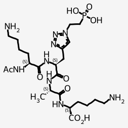 CC(=O)N[C@@H](CCCCN)C(=O)N[C@@H](Cc1cn(CCP(=O)(O)O)nn1)C(=O)N[C@@H](C)C(=O)N[C@@H](CCCCN)C(=O)O